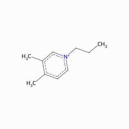 CCC[n+]1ccc(C)c(C)c1